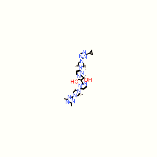 Cc1nc(C)nc(N2C[C@@H](C)N(c3ccnc(C(CO)[C@](C)(O)c4nccc(N5[C@H](C)CN(c6ncnc(C7CC7)n6)C[C@@H]5C)n4)n3)[C@@H](C)C2)n1